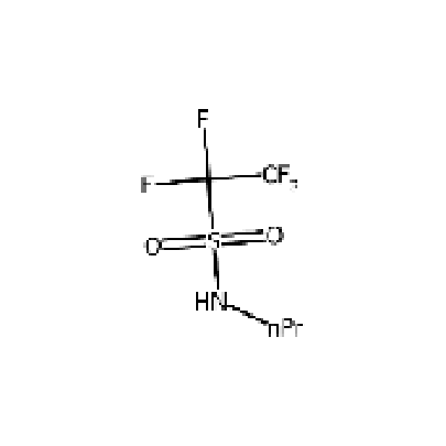 CCCNS(=O)(=O)C(F)(F)C(F)(F)F